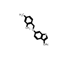 CC(=O)Oc1csc2cc(OCc3ccc(C)cc3C)ccc12